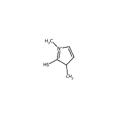 CC1C=C[N+](C)=C1S